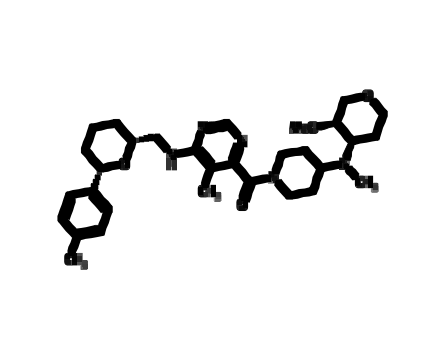 CO[C@H]1COCC[C@H]1N(C)C1CCN(C(=O)c2ncnc(NC[C@H]3CCC[C@@H](c4ccc(C)cc4)O3)c2C)CC1